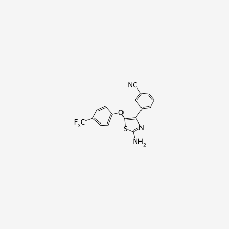 N#Cc1cccc(-c2nc(N)sc2Oc2ccc(C(F)(F)F)cc2)c1